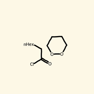 C1CCOOC1.CCCCCCCC(=O)Cl